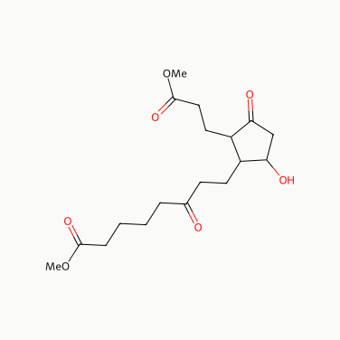 COC(=O)CCCCC(=O)CCC1C(O)CC(=O)C1CCC(=O)OC